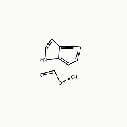 COC=O.c1ccc2[nH]ccc2c1